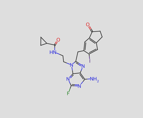 Nc1nc(F)nc2c1nc(Cc1cc3c(cc1I)CCC3=O)n2CCNC(=O)C1CC1